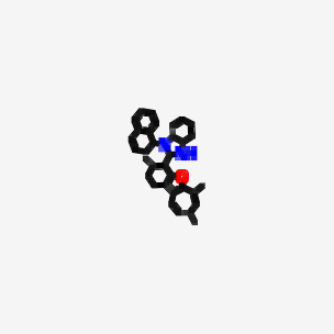 CC1=CC(C)C=Cc2c1oc1c2CCC(C)=C1C1NC2C=CC=CC2N1C1CC=Cc2ccccc21